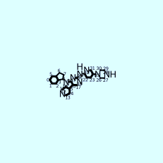 c1ccc2c(c1)CCC2n1c2cnccc2c2cnc(Nc3ccc(N4CCNCC4)cn3)nc21